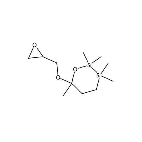 CC1(OCC2CO2)CC[Si](C)(C)[Si](C)(C)O1